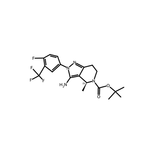 C[C@H]1c2c(nn(-c3ccc(F)c(C(F)(F)F)c3)c2N)CCN1C(=O)OC(C)(C)C